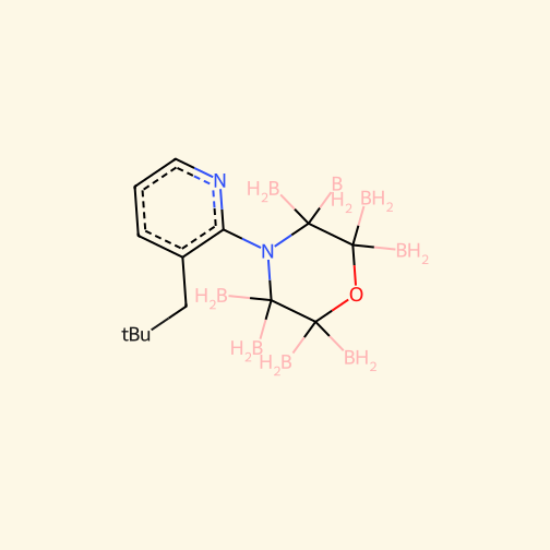 BC1(B)OC(B)(B)C(B)(B)N(c2ncccc2CC(C)(C)C)C1(B)B